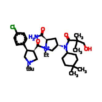 CC[N+]1(C(=O)[C@@H]2CN(C(C)(C)C)C[C@H]2c2ccc(Cl)cc2)C[C@@H](N(C(=O)C(C)(C)CO)C2CCC(C)(C)CC2)C[C@H]1C(N)=O